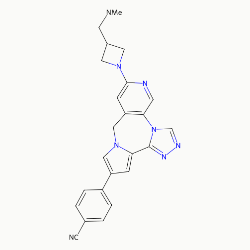 CNCC1CN(c2cc3c(cn2)-n2cnnc2-c2cc(-c4ccc(C#N)cc4)cn2C3)C1